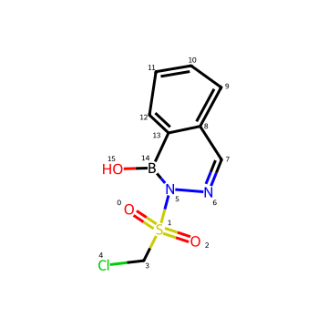 O=S(=O)(CCl)N1N=Cc2ccccc2B1O